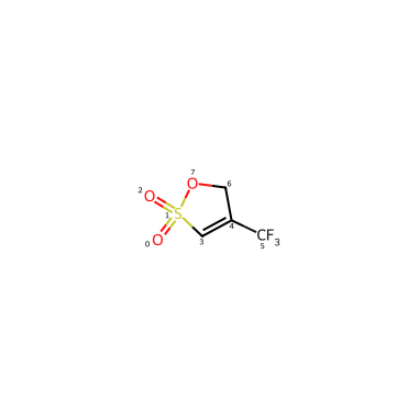 O=S1(=O)C=C(C(F)(F)F)CO1